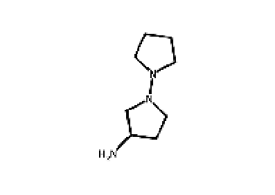 NC1CCN(N2CCCC2)C1